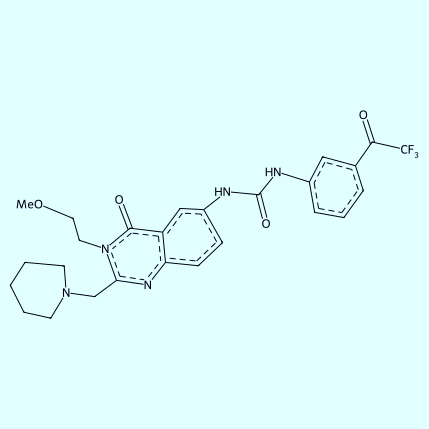 COCCn1c(CN2CCCCC2)nc2ccc(NC(=O)Nc3cccc(C(=O)C(F)(F)F)c3)cc2c1=O